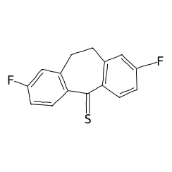 Fc1ccc2c(c1)CCc1cc(F)ccc1C2=S